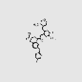 C[C@@H]1CN(CC(=O)N2CCOc3ncc(Cc4ccc(F)cc4)cc32)[C@@H](CN2CCOC[C@H]2C)CN1.O=CO